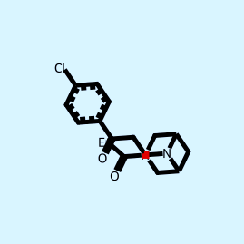 CCC(=O)N1CC2CC(C1)N2CCC(=O)c1ccc(Cl)cc1